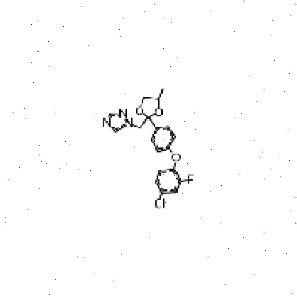 CC1COC(Cn2cncn2)(c2ccc(Oc3ccc(Cl)cc3F)cc2)O1